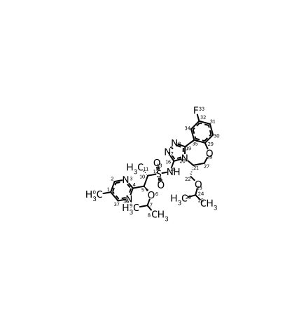 Cc1cnc([C@H](OC(C)C)[C@H](C)S(=O)(=O)Nc2nnc3n2[C@@H](COC(C)C)COc2ccc(F)cc2-3)nc1